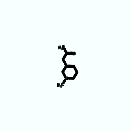 CC(=O)CC1=CCCN(C)C1